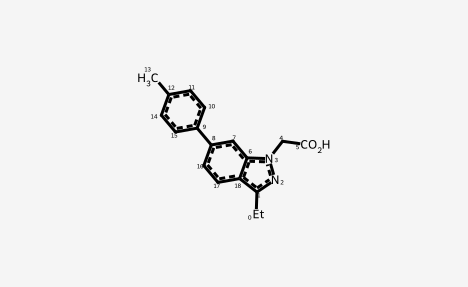 CCc1nn(CC(=O)O)c2cc(-c3ccc(C)cc3)ccc12